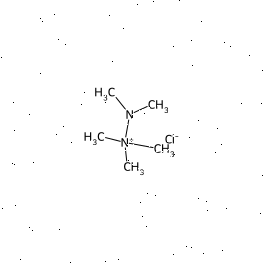 CN(C)[N+](C)(C)C.[Cl-]